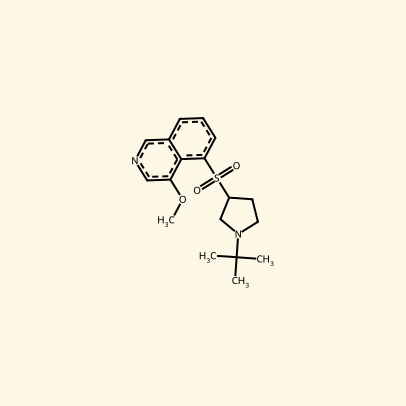 COc1cncc2cccc(S(=O)(=O)C3CCN(C(C)(C)C)C3)c12